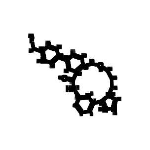 O=C1Nc2cccc(n2)-c2nncn2CCCOCc2ccc(-c3ccc(CF)nc3)cc21